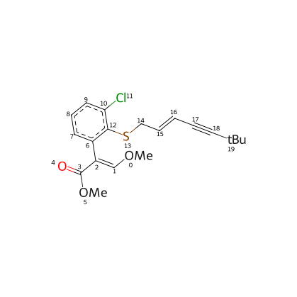 CO/C=C(/C(=O)OC)c1cccc(Cl)c1SC/C=C/C#CC(C)(C)C